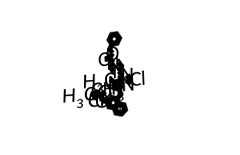 Cn1cc(Cc2cc(OC(=O)C(C)(C)C)cc3ccccc23)c2nc(Cl)nc(N3CCN(C(=O)OCc4ccccc4)CC3)c21